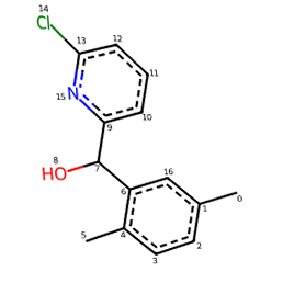 Cc1ccc(C)c(C(O)c2cccc(Cl)n2)c1